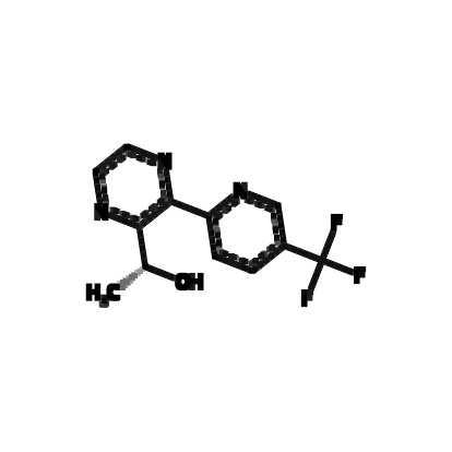 C[C@@H](O)c1nccnc1-c1ccc(C(F)(F)F)cn1